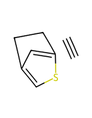 C#C.c1sc2cc1CC2